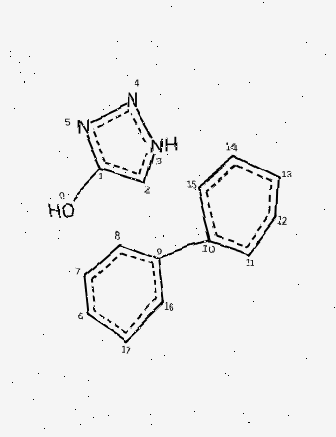 Oc1c[nH]nn1.c1ccc(-c2ccccc2)cc1